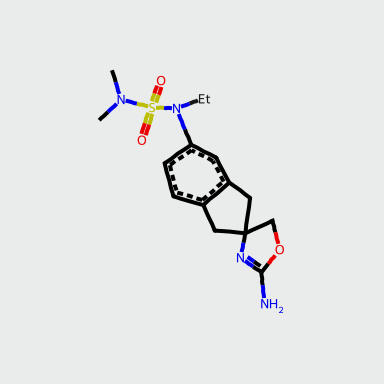 CCN(c1ccc2c(c1)CC1(COC(N)=N1)C2)S(=O)(=O)N(C)C